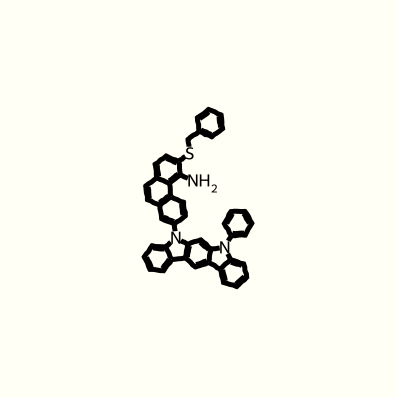 Nc1c(SCc2ccccc2)ccc2ccc3cc(-n4c5ccccc5c5cc6c7ccccc7n(-c7ccccc7)c6cc54)ccc3c12